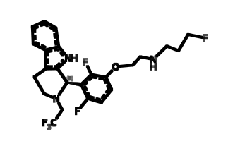 FCCCNCCOc1ccc(F)c([C@@H]2c3[nH]c4ccccc4c3CCN2CC(F)(F)F)c1F